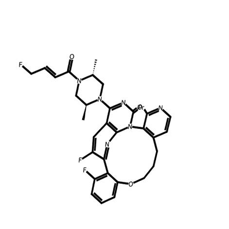 CC(C)c1nccc2c1-n1c(=O)nc(N3C[C@@H](C)N(C(=O)/C=C/CF)C[C@@H]3C)c3cc(F)c(nc31)-c1c(F)cccc1OCCC2